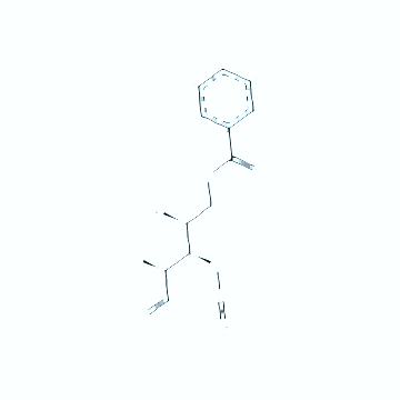 B=BO[C@@H]([C@H](F)C=O)[C@@H](Br)COC(=O)c1ccccc1